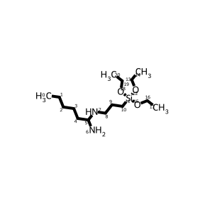 CCCCCC(N)NCCC[Si](OCC)(OCC)OCC